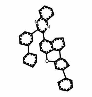 c1ccc(-c2cccc(-c3nc4ccccc4nc3-c3ccc4c5c(cccc35)-c3ccc(-c5ccccc5)cc3O4)c2)cc1